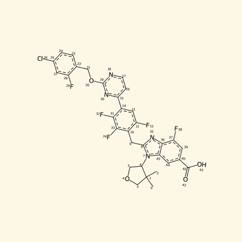 CC1(C)COCC1n1c(Cc2c(F)cc(-c3ccnc(OCc4ccc(Cl)cc4F)n3)c(F)c2F)nc2c(F)cc(C(=O)O)cc21